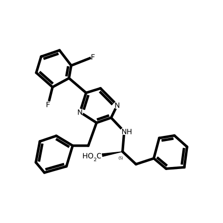 O=C(O)[C@H](Cc1ccccc1)Nc1ncc(-c2c(F)cccc2F)nc1Cc1ccccc1